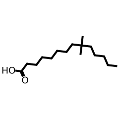 CCCCCC(C)(C)CCCCCCCC(=O)O